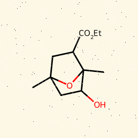 CCOC(=O)C1CC2(C)CC(O)C1(C)O2